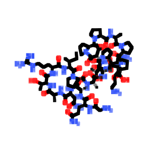 CC[C@H](C)[C@H](NC(=O)[C@H](CCCNC(=N)N)NC(=O)[C@@H](NC(=O)[C@H](C)NC(=O)[C@H](CC(N)=O)NC(=O)[C@H](C)NC(=O)[C@H](CCC(N)=O)NC(=O)CN)[C@@H](C)O)C(=O)N1CCC[C@H]1C(=O)N[C@@H](C)C(=O)N[C@@H](CCCCN)C(=O)N[C@H](C(=O)N1CCC[C@H]1C(=O)N1CCC[C@H]1C(=O)N[C@@H](C)C(=O)N1CCC[C@H]1C(=O)N[C@@H](CCCCN)C(=O)N[C@H](C(=O)N1CCC[C@H]1C(=O)N1CCC[C@H]1C(=O)O)[C@@H](C)O)[C@@H](C)O